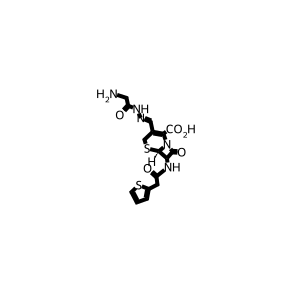 NCC(=O)N/N=C/C1=C(C(=O)O)N2C(=O)C(NC(=O)Cc3cccs3)[C@H]2SC1